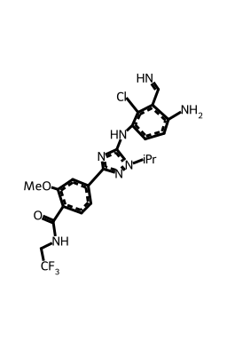 COc1cc(-c2nc(Nc3ccc(N)c(C=N)c3Cl)n(C(C)C)n2)ccc1C(=O)NCC(F)(F)F